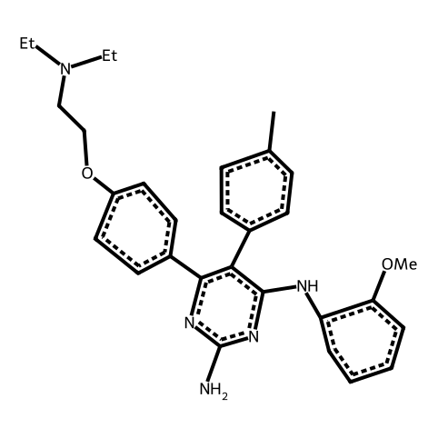 CCN(CC)CCOc1ccc(-c2nc(N)nc(Nc3ccccc3OC)c2-c2ccc(C)cc2)cc1